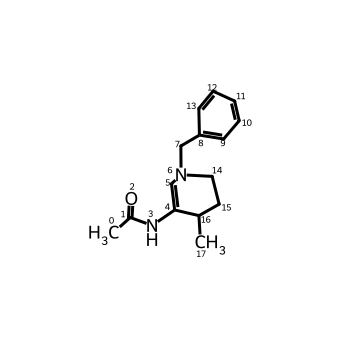 CC(=O)NC1=CN(Cc2ccccc2)CCC1C